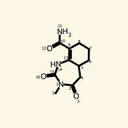 CN1C(=O)CC2CCCC(C(N)=O)=C2NC1=O